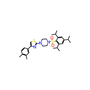 Cc1ccc(-c2csc(N3CCN(S(=O)(=O)c4c(C(C)C)cc(C(C)C)cc4C(C)C)CC3)n2)cc1C